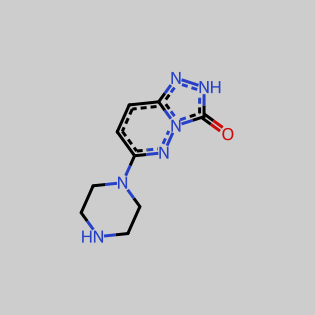 O=c1[nH]nc2ccc(N3CCNCC3)nn12